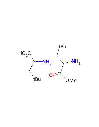 CC(C)(C)CC(N)C(=O)O.COC(=O)C(N)CC(C)(C)C